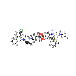 CN(C)CC[C@H](CSc1ccccc1)Nc1ccc(S(=O)(=O)NC(=O)c2ccc3c(c2)CCC[C@H]2CN(Cc4cc(Cl)ccc4-c4ccccc4)CCN32)cc1[N+](=O)[O-]